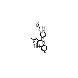 CCc1cc2c(s1)Nc1cc(F)ccc1N=C2N1CCN[C@@H](CCOC)C1